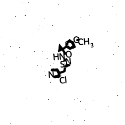 COc1ccc(C2(C(=O)Nc3ncc(Cc4ccncc4Cl)s3)CC2)cc1